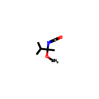 CC(C)C(C)(N=C=O)O[SiH3]